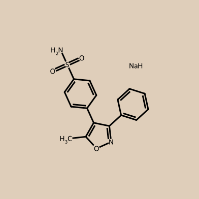 Cc1onc(-c2ccccc2)c1-c1ccc(S(N)(=O)=O)cc1.[NaH]